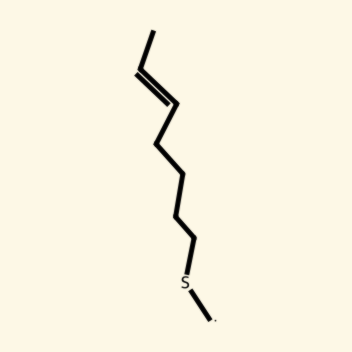 [CH2]SCCCCC=CC